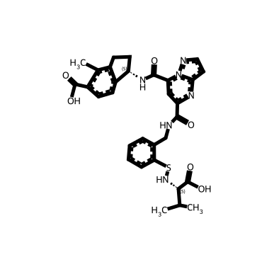 Cc1c(C(=O)O)ccc2c1CC[C@@H]2NC(=O)c1cc(C(=O)NCc2ccccc2SN[C@H](C(=O)O)C(C)C)nc2ccnn12